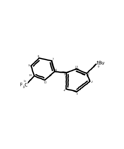 CC(C)(C)c1cccc(-c2cccc(C(F)(F)F)c2)c1